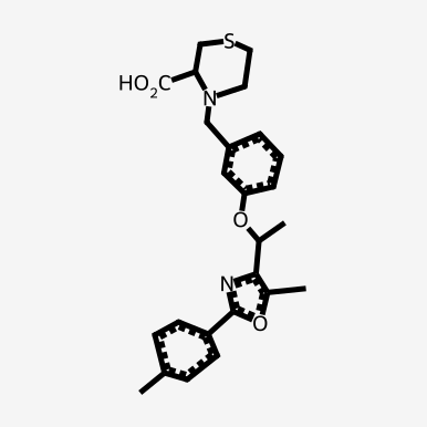 Cc1ccc(-c2nc(C(C)Oc3cccc(CN4CCSCC4C(=O)O)c3)c(C)o2)cc1